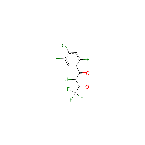 O=C(c1cc(F)c(Cl)cc1F)C(Cl)C(=O)C(F)(F)F